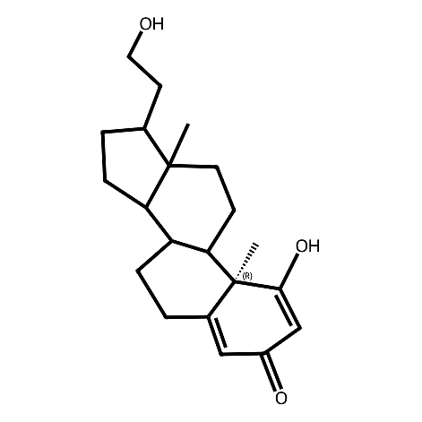 CC12CCC3C(CCC4=CC(=O)C=C(O)[C@@]43C)C1CCC2CCO